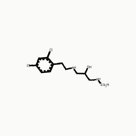 O=C(O)NCC(O)CNCCc1ccc(Cl)cc1Cl